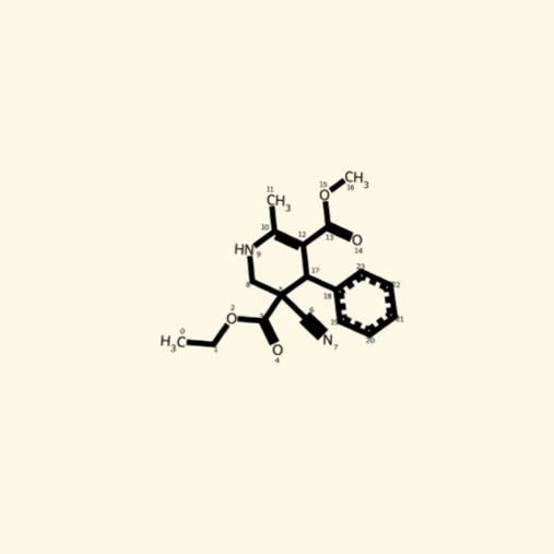 CCOC(=O)C1(C#N)CNC(C)=C(C(=O)OC)C1c1ccccc1